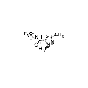 Cc1cc(C(=O)NCC(F)(F)F)n(C)n1